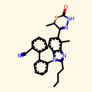 CCCCc1nc2c(C)c(C3=NNC(=O)SC3C)ccc2n1-c1ccccc1-c1ccccc1C#N